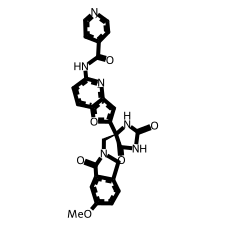 COc1ccc2c(c1)C(=O)N(C[C@@]1(c3cc4nc(NC(=O)c5ccncc5)ccc4o3)NC(=O)NC1=O)C2